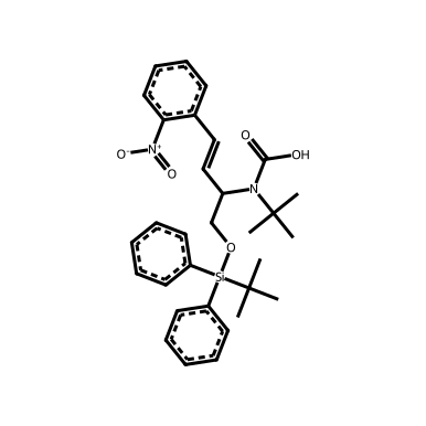 CC(C)(C)N(C(=O)O)C(C=Cc1ccccc1[N+](=O)[O-])CO[Si](c1ccccc1)(c1ccccc1)C(C)(C)C